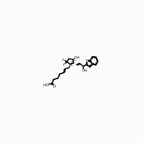 O=C(O)CCCC=CC[C@@H]1[C@@H](C=CC(O)c2cc3ccccc3s2)[C@H](O)CC1(F)F